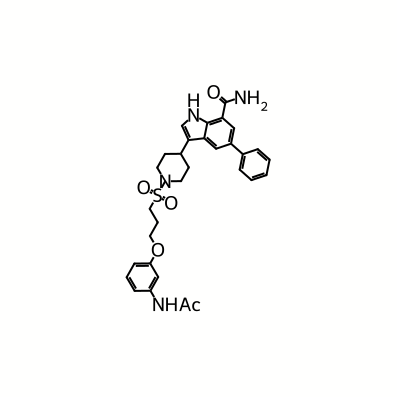 CC(=O)Nc1cccc(OCCCS(=O)(=O)N2CCC(c3c[nH]c4c(C(N)=O)cc(-c5ccccc5)cc34)CC2)c1